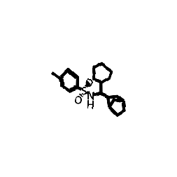 Cc1ccc(S(=O)(=O)NC(C2CCCCC2)C2CC3CCC2C3)cc1